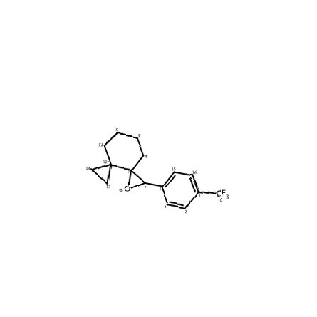 FC(F)(F)c1ccc(C2OC23CCCCC32CC2)cc1